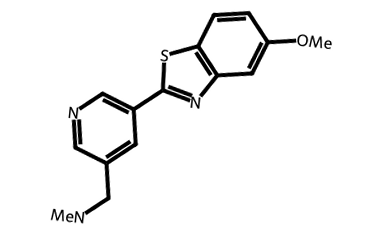 CNCc1cncc(-c2nc3cc(OC)ccc3s2)c1